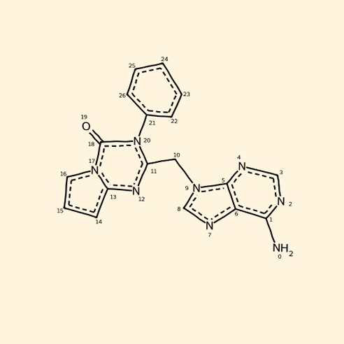 Nc1ncnc2c1ncn2Cc1nc2cccn2c(=O)n1-c1ccccc1